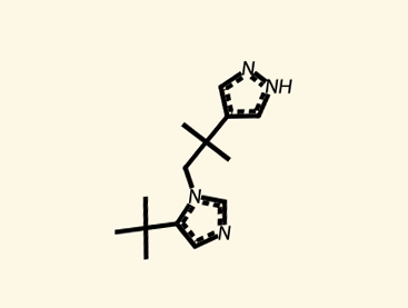 CC(C)(C)c1cncn1CC(C)(C)c1cn[nH]c1